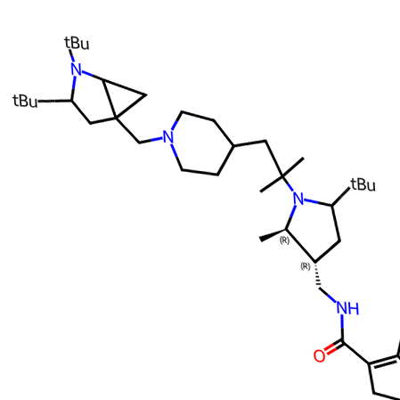 C[C@@H]1[C@@H](CNC(=O)C2=C(F)CCC2)CC(C(C)(C)C)N1C(C)(C)CC1CCN(CC23CC(C(C)(C)C)N(C(C)(C)C)C2C3)CC1